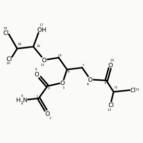 NC(=O)C(=O)OC(COC(=O)C(Cl)Cl)COC(O)C(Cl)Cl